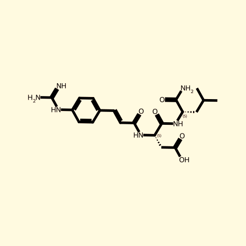 CC(C)C[C@H](NC(=O)[C@H](CC(=O)O)NC(=O)C=Cc1ccc(NC(=N)N)cc1)C(N)=O